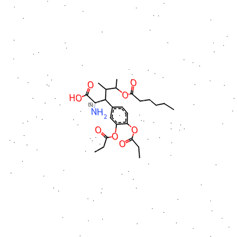 CCCCCC(=O)OC(C)C(C)C(c1ccc(OC(=O)CC)c(OC(=O)CC)c1)[C@H](N)C(=O)O